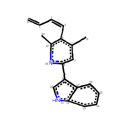 C=C/C=C\c1c(C)cc(-c2c[nH]c3ccccc23)nc1C